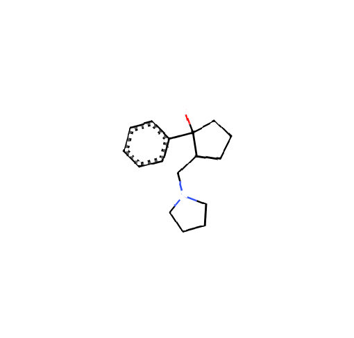 OC1(c2ccccc2)CCCC1CN1CCCC1